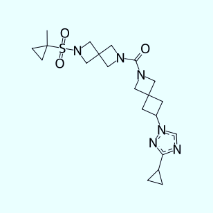 CC1(S(=O)(=O)N2CC3(CN(C(=O)N4CC5(CC(n6cnc(C7CC7)n6)C5)C4)C3)C2)CC1